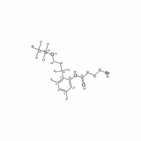 Cc1cc(C)c(C(C)(C)CCO[Si](C)(C)C(C)(C)C)c(OC(=O)CCCBr)c1